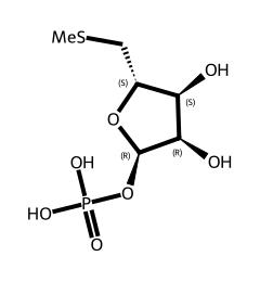 CSC[C@H]1O[C@H](OP(=O)(O)O)[C@H](O)[C@@H]1O